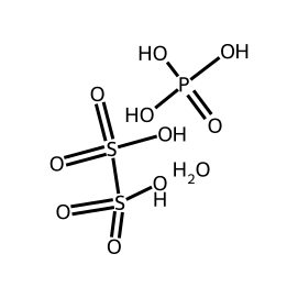 O.O=P(O)(O)O.O=S(=O)(O)S(=O)(=O)O